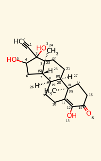 C#CC1(O)C(O)C[C@H]2[C@@H]3CCC4=C(O)C(=O)CC[C@]4(C)[C@@H]3CC[C@@]21C